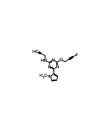 C#CCNc1nc(OCC#CI)nc(-c2cccn2C)n1